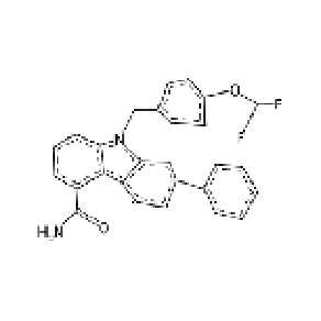 NC(=O)c1cccc2c1c1[c]cc(-c3ccccc3)cc1n2Cc1ccc(OC(F)F)cc1